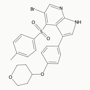 Cc1ccc(S(=O)(=O)c2c(Br)cnc3[nH]cc(-c4ccc(OC5CCOCC5)cc4)c23)cc1